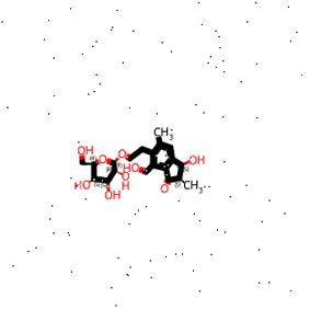 Cc1cc2c(c(CO)c1CCO[C@@H]1O[C@H](CO)[C@@H](O)[C@H](O)[C@H]1O)C(=O)[C@@H](C)[C@@H]2O